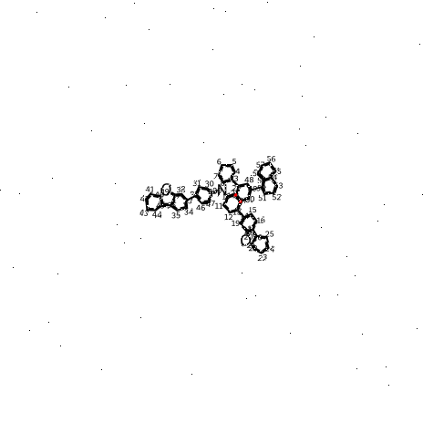 c1cc(-c2ccccc2N(c2ccc(-c3ccc4c(c3)oc3ccccc34)cc2)c2ccc(-c3ccc4c(c3)oc3ccccc34)cc2)cc(-c2cccc3ccccc23)c1